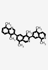 Cc1cc(-c2ncc3c(C)cc(-c4cnc5c(C)cccc5c4C)cc3c2C)cc2c(C)nccc12